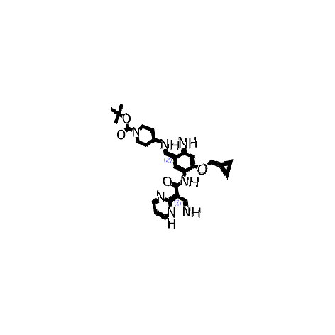 CC(C)(C)OC(=O)N1CCC(N/C=C2/C=C(NC(=O)/C(C=N)=C3\N=CC=CN3)C(OCC3CC3)=CC2=N)CC1